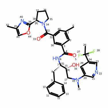 Cc1cc(C(=O)N[C@@H](Cc2ccccc2)[C@H](O)CN(C)c2cncc(C(C)(F)F)c2)cc(C(=O)N2CCC[C@@H]2c2nc(C)co2)c1